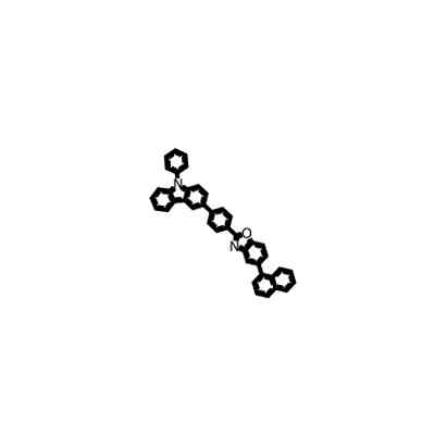 c1ccc(-n2c3ccccc3c3cc(-c4ccc(-c5nc6cc(-c7cccc8ccccc78)ccc6o5)cc4)ccc32)cc1